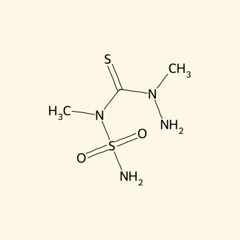 CN(N)C(=S)N(C)S(N)(=O)=O